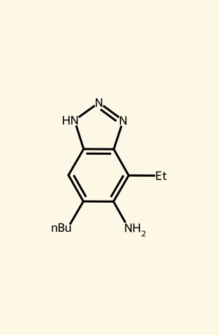 CCCCc1cc2[nH]nnc2c(CC)c1N